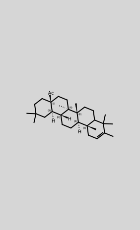 CC(=O)[C@]12CCC(C)(C)C[C@@H]1[C@H]1CC[C@@H]3[C@@]4(C)CC=C(C)C(C)(C)C4CC[C@@]3(C)[C@]1(C)CC2